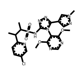 COc1ncnc(OC)c1-n1c(NS(=O)(=O)C(C)C(C)c2ccc(Cl)cn2)nnc1-c1cnn(C)c1